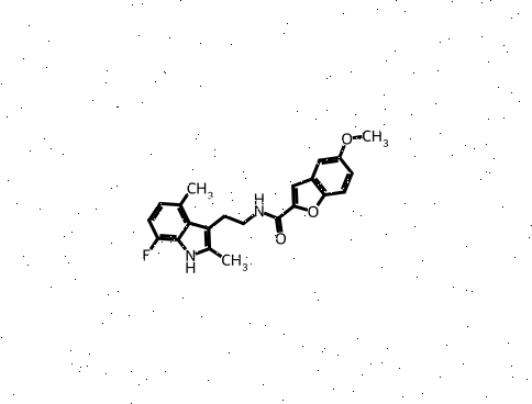 COc1ccc2oc(C(=O)NCCc3c(C)[nH]c4c(F)ccc(C)c34)cc2c1